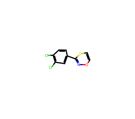 Clc1ccc(C2=NOC=CS2)cc1Cl